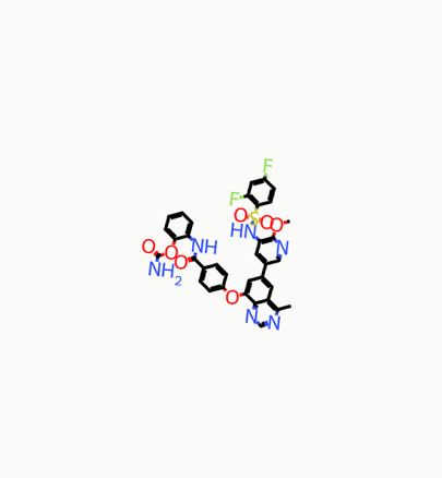 COc1ncc(-c2cc(Oc3ccc(C(=O)Nc4ccccc4OC(N)=O)cc3)c3ncnc(C)c3c2)cc1NS(=O)(=O)c1ccc(F)cc1F